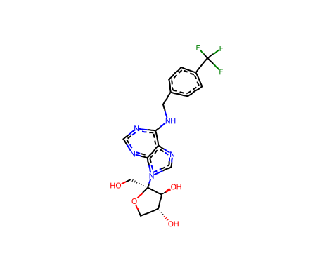 OC[C@@]1(n2cnc3c(NCc4ccc(C(F)(F)F)cc4)ncnc32)OC[C@@H](O)[C@@H]1O